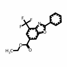 CCOC(=O)c1cc(C(F)(F)F)c2nc(-c3ccccc3)oc2c1